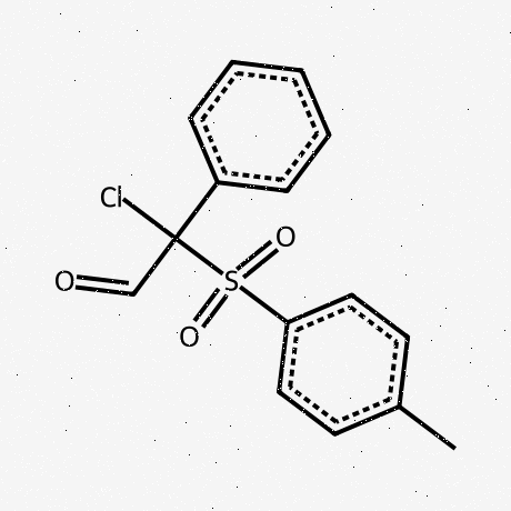 Cc1ccc(S(=O)(=O)C(Cl)(C=O)c2ccccc2)cc1